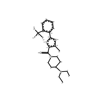 CCN(CC)C1CCN(C(=O)c2sc(-c3ccccc3C(F)(F)F)nc2C)CC1